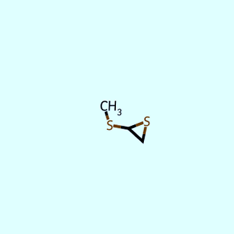 CSC1CS1